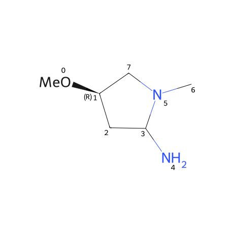 CO[C@@H]1CC(N)N(C)C1